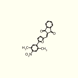 Cc1cc([N+](=O)[O-])c(C)cc1-c1ccc(C=C2C(=O)c3ccccc3C2=O)o1